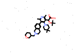 Cc1nc(C)c(C(OC(C)(C)C)C(=O)O)c(N2CCC(C)(C)CC2)c1-c1ccc2c(c1)CCN(CC1CCCOC1)C2